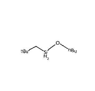 CCCCC[SiH2]OCCCC